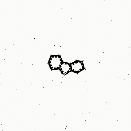 [c]1[c]c2c(cc1)oc1ccccc12